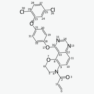 C=CC(=O)N1CCOc2c1ccc1ncnc(Oc3ccc(Oc4cc(Cl)ccc4Cl)cc3)c21